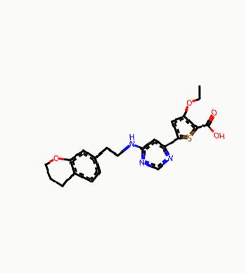 CCOc1cc(-c2cc(NCCc3ccc4c(c3)OCCC4)ncn2)sc1C(=O)O